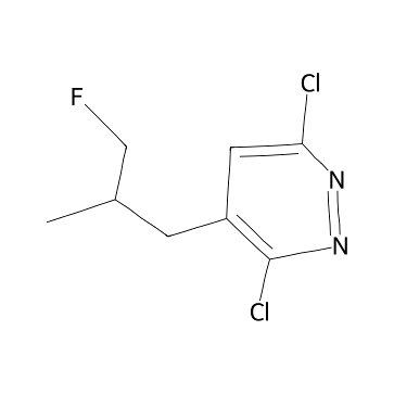 CC(CF)Cc1cc(Cl)nnc1Cl